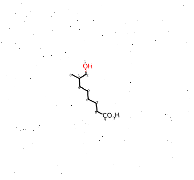 CC(CO)CCCCCC(=O)O